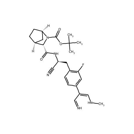 CN/C=C(\C=N)c1ccc(C[C@@H](C#N)NC(=O)[C@@H]2[C@H]3CC[C@H](C3)N2C(=O)OC(C)(C)C)c(F)c1